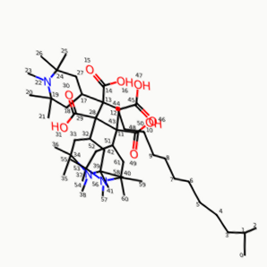 CC(C)CCCCCCCCCCC(C(=O)O)(C1CC(C)(C)N(C)C(C)(C)C1)C(C(=O)O)(C1CC(C)(C)N(C)C(C)(C)C1)C(CC(=O)O)(C(=O)O)C1CC(C)(C)N(C)C(C)(C)C1